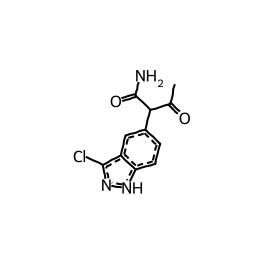 CC(=O)C(C(N)=O)c1ccc2[nH]nc(Cl)c2c1